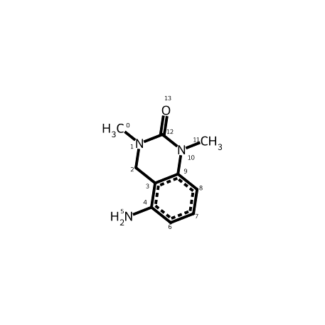 CN1Cc2c(N)cccc2N(C)C1=O